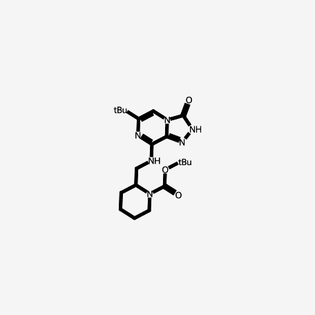 CC(C)(C)OC(=O)N1CCCCC1CNc1nc(C(C)(C)C)cn2c(=O)[nH]nc12